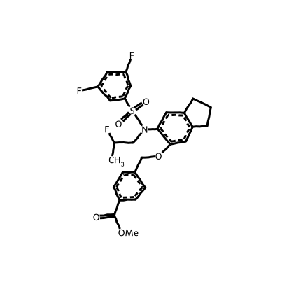 COC(=O)c1ccc(COc2cc3c(cc2N(CC(C)F)S(=O)(=O)c2cc(F)cc(F)c2)CCC3)cc1